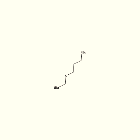 CC(C)(C)CCCSCC(C)(C)C